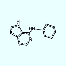 c1ccc(Nc2ncnc3cc[nH]c23)cc1